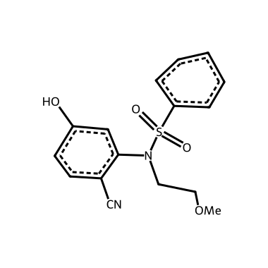 COCCN(c1cc(O)ccc1C#N)S(=O)(=O)c1ccccc1